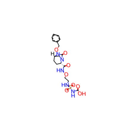 O=C(O)NS(=O)(=O)NCCONC(=O)[C@@H]1CC[C@@H]2CN1C(=O)N2OCc1ccccc1